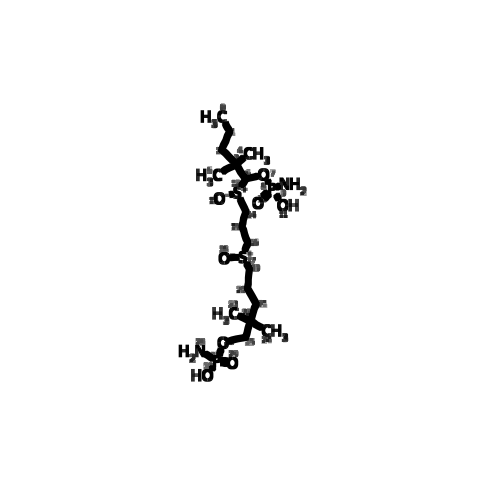 CCCC(C)(C)C(OP(N)(=O)O)[S+]([O-])CCC[S+]([O-])CCCC(C)(C)COP(N)(=O)O